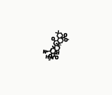 COC(=O)[C@]12CCC(C)(C)CC1C1C(=O)C=C3[C@@]4(C)C=C(C#N)C(=O)[C@@](C)(C(N)=O)[C@@H]4CC[C@@]3(C)[C@]1(C)CC2